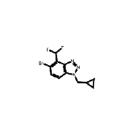 FC(F)c1c(Br)ccc2c1nnn2CC1CC1